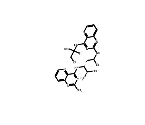 CCCCC(CC)(CO)Nc1nc(NC(CC)C[C@@H](Nc2nc(N)nc3cccnc23)[C@@H](O)C(F)(F)F)nc2cccnc12